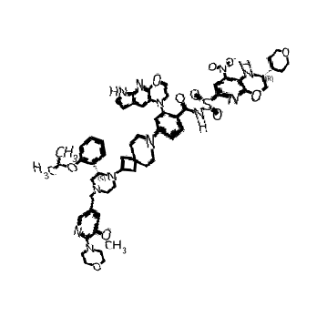 COc1cc(CN2CCN(C3CC4(CCN(c5ccc(C(=O)NS(=O)(=O)c6cc([N+](=O)[O-])c7c(n6)OC[C@@H](C6CCOCC6)N7)c(N6CCOc7nc8[nH]ccc8cc76)c5)CC4)C3)[C@@H](c3ccccc3OC(C)C)C2)cnc1N1CCOCC1